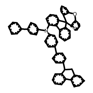 c1ccc(-c2ccc(N(c3ccc(-c4ccc(C5Cc6ccccc6-c6ccccc65)cc4)cc3)c3cccc4c3-c3ccccc3C43c4ccccc4Oc4ccccc43)cc2)cc1